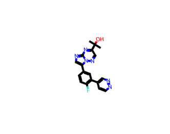 CC(C)(O)c1cnn2c(-c3ccc(F)c(-c4ccnnc4)c3)cnc2n1